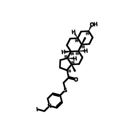 C[C@]12CC[C@@H](O)C[C@@H]1CC[C@@H]1[C@@H]2CC[C@]2(C)[C@@H](C(=O)CSC3=CCN(CI)C=C3)CC[C@@H]12